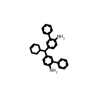 Nc1ccc(C(c2ccc(N)c(-c3ccccc3)c2)C2CC=CCC2)cc1-c1ccccc1